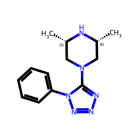 C[C@@H]1CN(c2nnnn2-c2ccccc2)C[C@H](C)N1